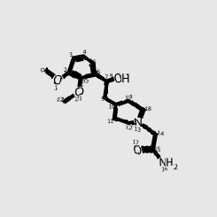 COc1cccc(C(O)CC2CCN(CC(N)=O)CC2)c1OC